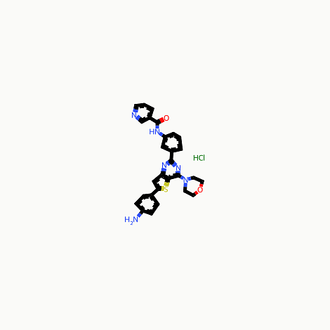 Cl.Nc1ccc(-c2cc3nc(-c4cccc(NC(=O)c5cccnc5)c4)nc(N4CCOCC4)c3s2)cc1